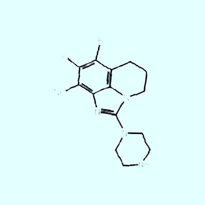 N#Cc1c(Br)c(Br)c2c3c1nc(N1CCNCC1)n3CCC2